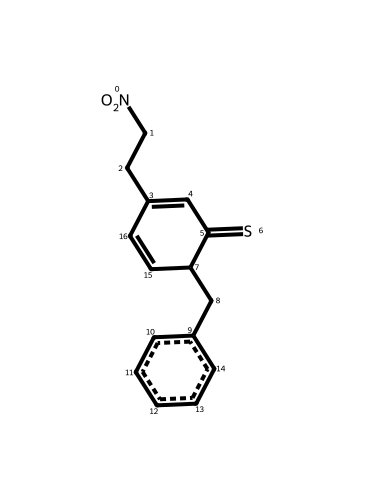 O=[N+]([O-])CCC1=CC(=S)C(Cc2ccccc2)C=C1